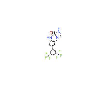 O=C1Nc2ccc(-c3cc(C(F)(F)F)cc(C(F)(F)F)c3)cc2CN2CCNC[C@@H]12